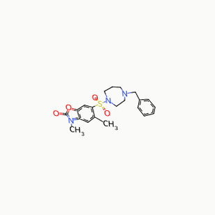 Cc1cc2c(cc1S(=O)(=O)N1CCCN(Cc3ccccc3)CC1)oc(=O)n2C